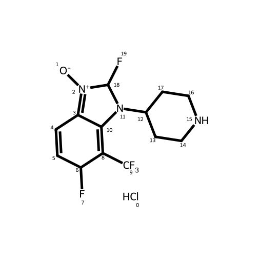 Cl.[O-][N+]1=C2C=CC(F)C(C(F)(F)F)=C2N(C2CCNCC2)C1F